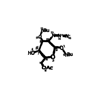 CCCCOC1OC(COC(C)=O)[C@@H](O)C(OCCCC)C1N=[N+]=[N-]